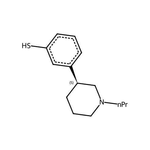 CCCN1CCC[C@@H](c2cccc(S)c2)C1